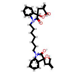 C=C1COC2(C1)C(=O)N(CCCCCCCN1C(=O)C3(CC(=C)C(=O)O3)c3ccccc31)c1ccccc12